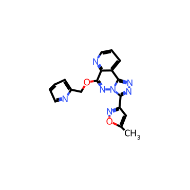 Cc1cc(-c2nnc3c4cccnc4c(OCc4ccccn4)nn23)no1